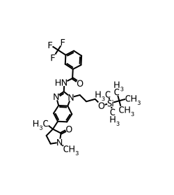 CN1CCC(C)(c2ccc3c(c2)nc(NC(=O)c2cccc(C(F)(F)F)c2)n3CCCO[Si](C)(C)C(C)(C)C)C1=O